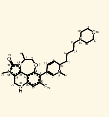 CC1COc2c(C3=CN(C)C(CCCCN4CCOCC4)C=C3)c(F)cc3c2-c2c(n(C)c(=O)n21)CN3